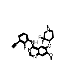 C#Cc1cccc(Nc2ncnc3cc(OC)c(O[C@H]4CCN(C)CC4(F)F)cc23)c1F